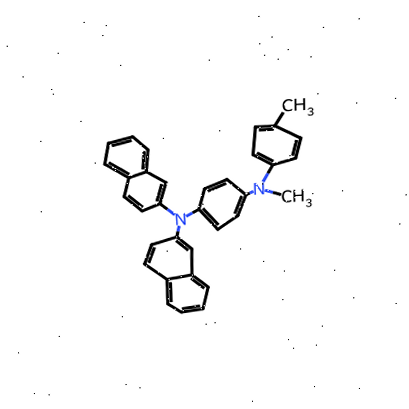 Cc1ccc(N(C)c2ccc(N(c3ccc4ccccc4c3)c3ccc4ccccc4c3)cc2)cc1